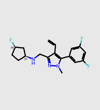 C=Cc1c(CN[C@H]2CC[C@@H](F)C2)nn(C)c1-c1cc(F)cc(F)c1